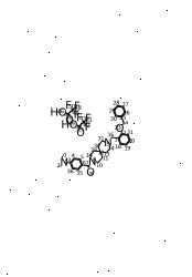 CN(C)c1ccc(C(=O)N2CCC3(CCN(Cc4ccccc4OCc4ccccc4)CC3)CC2)cc1.O=C(O)C(F)(F)F.O=C(O)C(F)(F)F